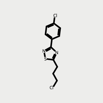 ClCCCc1nc(-c2ccc(Cl)cc2)ns1